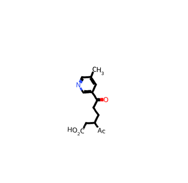 CC(=O)C(CCC(=O)c1cncc(C)c1)CC(=O)O